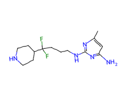 Cc1cc(N)nc(NCCCC(F)(F)C2CCNCC2)n1